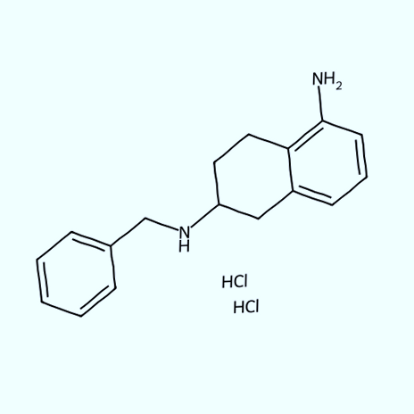 Cl.Cl.Nc1cccc2c1CCC(NCc1ccccc1)C2